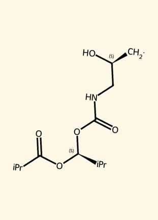 [CH2][C@H](O)CNC(=O)O[C@H](OC(=O)C(C)C)C(C)C